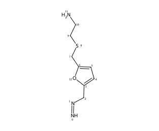 N=NCc1ccc(CSCCN)o1